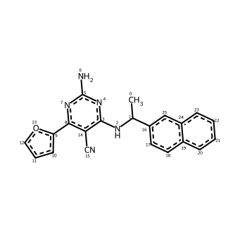 CC(Nc1nc(N)nc(-c2ccco2)c1C#N)c1ccc2ccccc2c1